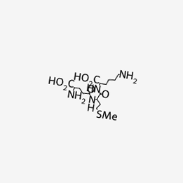 CSCCC(NC(=O)CCC(N)C(=O)O)C(=O)NC(CCCCN)C(=O)O